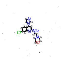 Clc1ccc2c(-n3ccnc3)cc(NCCN3CCOCC3)nc2c1